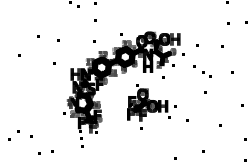 CC(C)[C@H](NC(=O)c1ccc(-c2ccc(Nc3nc4ncc(C(F)(F)F)cc4s3)c(F)c2)cc1)C(=O)O.O=C(O)C(F)(F)F